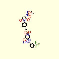 Cc1cc(N2C(=O)C[C@H](NC(=O)OC(C)(C)C)C2=O)ccc1C=CS(=O)(=O)N1CCC2(CC1)N=C(c1cccc(C(F)(F)F)c1)NC2=O